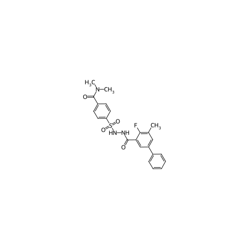 Cc1cc(-c2ccccc2)cc(C(=O)NNS(=O)(=O)c2ccc(C(=O)N(C)C)cc2)c1F